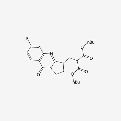 CCCCOC(=O)C(CC1CCn2c1nc1cc(F)ccc1c2=O)C(=O)OCCCC